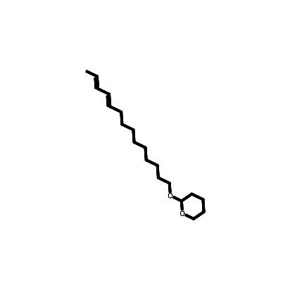 C/C=C/C=C/CCCCCCCCCOC1CCCCO1